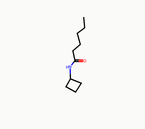 CCCCCC(=O)NC1CCC1